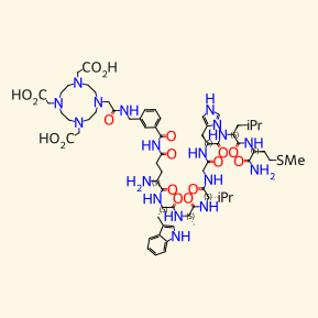 CSCC[C@H](NC(=O)[C@H](CC(C)C)NC(=O)[C@H](Cc1c[nH]cn1)NC(=O)CNC(=O)[C@@H](NC(=O)[C@H](C)NC(=O)[C@H](Cc1c[nH]c2ccccc12)NC(=O)[C@@H](N)CCC(=O)NC(=O)c1cccc(CNC(=O)CN2CCN(CC(=O)O)CCN(CC(=O)O)CCN(CC(=O)O)CC2)c1)C(C)C)C(N)=O